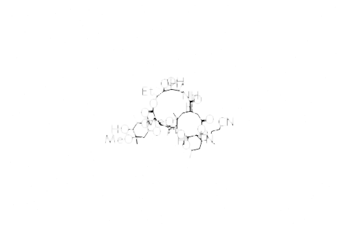 CC[C@H]1OC(=O)[C@H](C)[C@@H](O[C@H]2C[C@@](C)(OC)[C@@H](O)[C@H](C)O2)[C@H](C)[C@H]2O[C@@H]3O[C@H](C)C[C@H](N(C)CCC#N)[C@H]3OC(=O)C[C@H](C[C@@]2(C)OC)C(=O)N[C@H](C)[C@@H](O)[C@]1(C)O